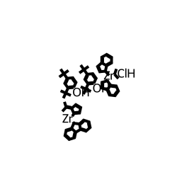 CC(C)(C)c1ccc(O)c(C(C)(C)C)c1.CC(C)(C)c1ccc(O)c(C(C)(C)C)c1.CC(C)=C1C=CC=[C]1[Zr][CH]1c2ccccc2-c2ccccc21.C[C](C)=[Zr]([CH]1C=Cc2ccccc21)[CH]1C=Cc2ccccc21.Cl